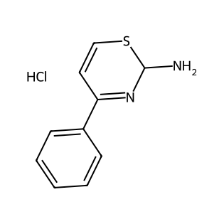 Cl.NC1N=C(c2ccccc2)C=CS1